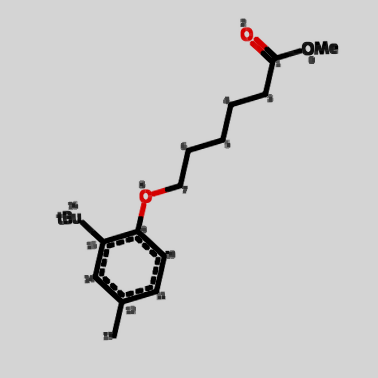 COC(=O)CCCCCOc1ccc(C)cc1C(C)(C)C